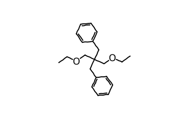 CCOCC(COCC)(Cc1ccccc1)Cc1ccccc1